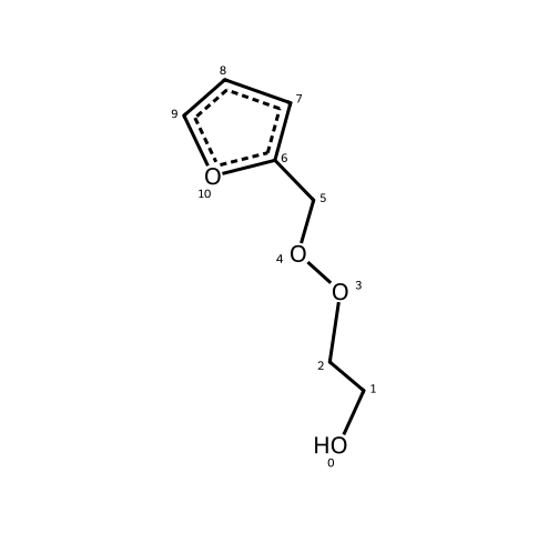 OCCOOCc1ccco1